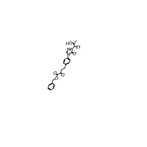 CCC([C@H](C)O)n1ncn(-c2ccc(CCC(=O)C(=O)OCc3ccccc3)cc2)c1=O